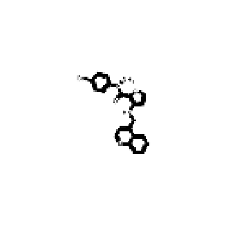 NN(C(=O)c1sccc1NCc1ccnc2ccccc12)c1ccc(Br)cc1